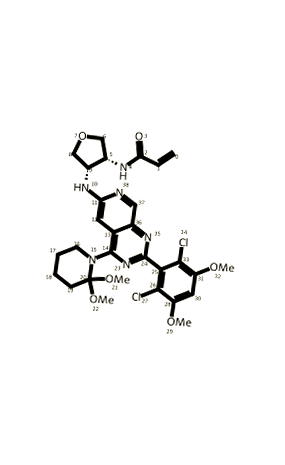 C=CC(=O)N[C@H]1COC[C@H]1Nc1cc2c(N3CCCCC3(OC)OC)nc(-c3c(Cl)c(OC)cc(OC)c3Cl)nc2cn1